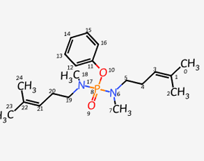 CC(C)=CCCN(C)P(=O)(Oc1ccccc1)N(C)CCC=C(C)C